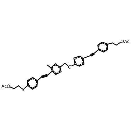 CC(=O)OCCSc1ccc(C#Cc2ccc(COc3ccc(C#Cc4ccc(CCOC(C)=O)cc4)cc3)cc2C)cc1